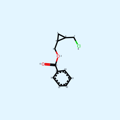 O=C(OCC1CC1CCl)c1ccccc1